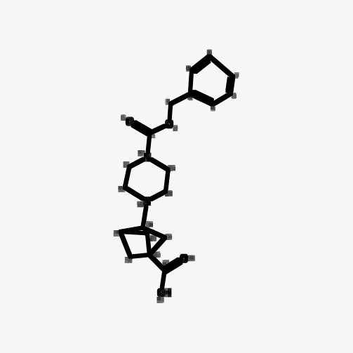 O=C(OCc1ccccc1)N1CCN(C2CC3(C(=O)O)CC2C3)CC1